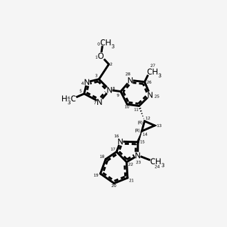 COCc1nc(C)nn1-c1cc([C@@H]2C[C@H]2c2nc3ccccc3n2C)nc(C)n1